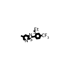 CCSc1cc(C(F)(F)F)ccc1-c1nc2cc(C)cnc2s1